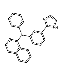 c1ccc(N(c2cccc(-c3ncc[nH]3)c2)c2nccc3ccccc23)cc1